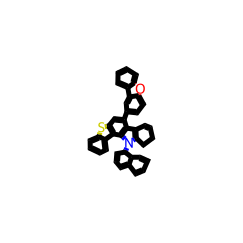 C1=CC2=CC=CC(n3c4c(c5c(-c6ccc7oc8ccccc8c7c6)cc6sc7ccccc7c6c53)C=CCC4)C2C=C1